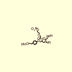 CCCOCC(=O)N(CC(COc1ccc(CCOC)cc1)OC(=O)COCCO[N+](=O)[O-])C(C)C